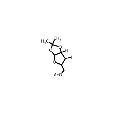 CC(=O)OCC1OC2OC(C)(C)O[C@@H]2[C@H]1I